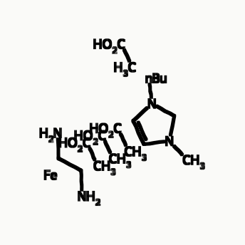 CC(=O)O.CC(=O)O.CC(=O)O.CC(=O)O.CCCCN1C=CN(C)C1.NCCN.[Fe]